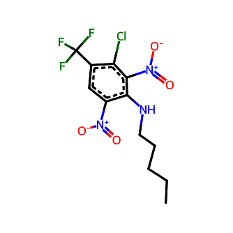 CCCCCNc1c([N+](=O)[O-])cc(C(F)(F)F)c(Cl)c1[N+](=O)[O-]